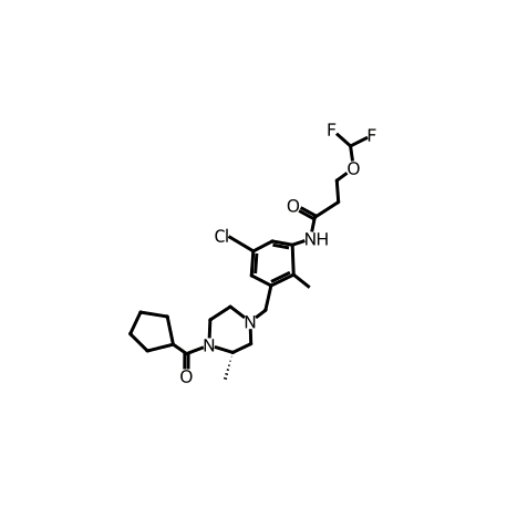 Cc1c(CN2CCN(C(=O)C3CCCC3)[C@@H](C)C2)cc(Cl)cc1NC(=O)CCOC(F)F